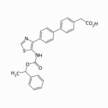 CC(OC(=O)Nc1scnc1-c1ccc(-c2ccc(CC(=O)O)cc2)cc1)c1ccccc1